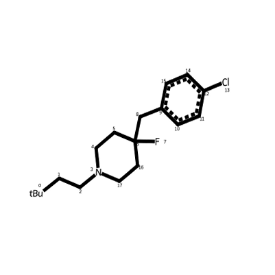 CC(C)(C)CCN1CCC(F)(Cc2ccc(Cl)cc2)CC1